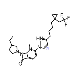 CCC1CCN(N2C(=O)C3=CC=C(N/C=C\C(=N)CCCCC4(CC(F)(F)F)CC4)N(C)C32)C1